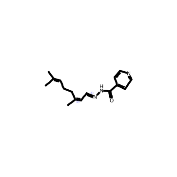 CC(C)=CCC/C(C)=C\C=N\NC(=O)c1ccncc1